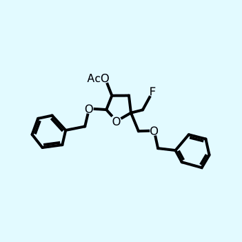 CC(=O)OC1CC(CF)(COCc2ccccc2)OC1OCc1ccccc1